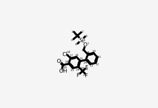 CC(C)(C)[Si](C)(C)OCc1ccccc1-c1cc(Cl)c(C(=O)O)cc1C(F)(F)F